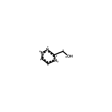 OCc1nccnn1